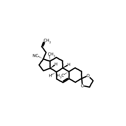 C=CC[C@]1(C#N)CC[C@H]2[C@@H]3CC=C4CC5(CC[C@]4(C)[C@H]3CC[C@@]21C)OCCO5